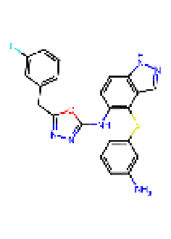 Nc1cccc(Sc2c(Nc3nnc(Cc4cccc(F)c4)o3)ccc3[nH]ncc23)c1